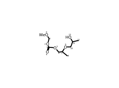 COCOC(=O)OCC(C)OCC(C)O